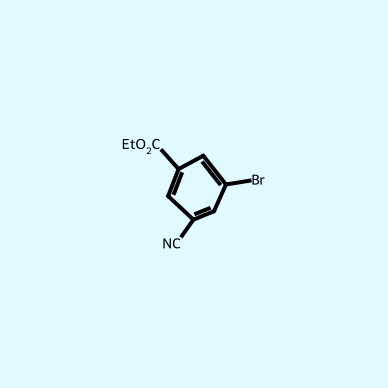 CCOC(=O)c1cc(Br)cc(C#N)c1